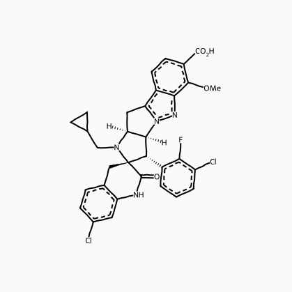 COc1c(C(=O)O)ccc2c3n(nc12)[C@@H]1[C@H](C3)N(CC2CC2)[C@]2(Cc3ccc(Cl)cc3NC2=O)[C@H]1c1cccc(Cl)c1F